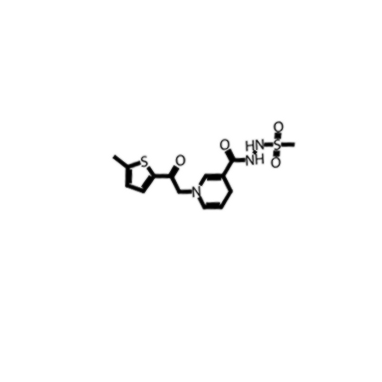 Cc1ccc(C(=O)CN2C=CCC(C(=O)NNS(C)(=O)=O)=C2)s1